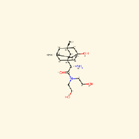 N[C@H](C(=O)N(CCO)CCO)C12C[C@@H]3C[C@@H](CC(O)(C3)C1)C2